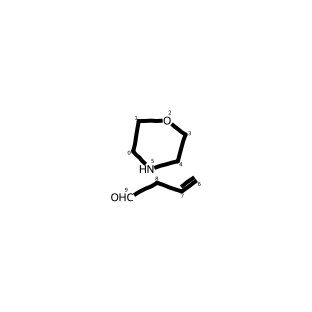 C1COCCN1.C=CCC=O